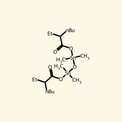 CCCCC(CC)C(=O)[O][Sn]([CH3])([CH3])[O][Sn]([CH3])([CH3])[O]C(=O)C(CC)CCCC